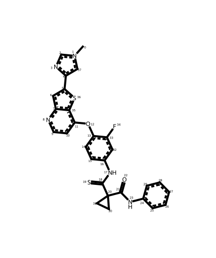 Cn1cnc(-c2cc3nccc(Oc4ccc(NC(=S)C5(C(=O)Nc6ccccc6)CC5)cc4F)c3s2)c1